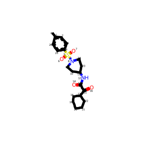 Cc1ccc(S(=O)(=O)N2CCC(NC(=O)C(=O)C3CCCCC3)CC2)cc1